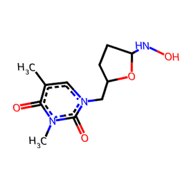 Cc1cn(CC2CCC(NO)O2)c(=O)n(C)c1=O